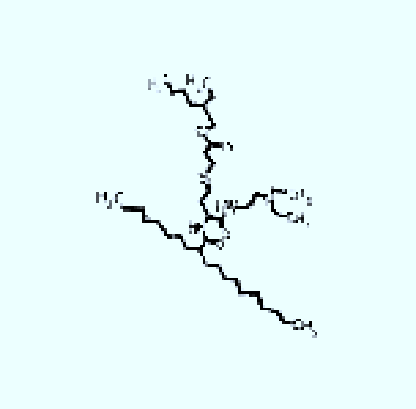 CCCCCCCCCCC(CCCCCCCC)C(=O)NC(CCSCCC(=O)OCC(CC)CCCC)C(=O)NCCN(CC)CC